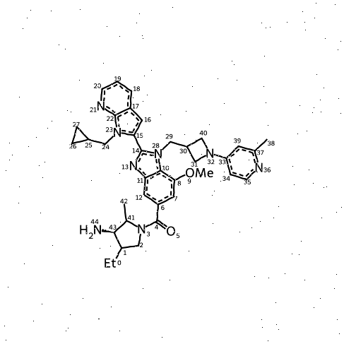 CCC1CN(C(=O)c2cc(OC)c3c(c2)nc(-c2cc4cccnc4n2CC2CC2)n3CC2CN(c3ccnc(C)c3)C2)C(C)[C@@H]1N